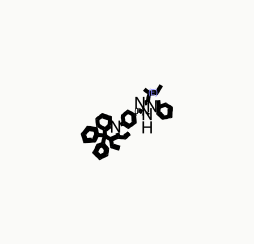 C=CC1=C(C=C)C(c2ccccc2)(c2ccccc2)C2=C(C=CCC2)N1C1=CC=C([C@@H]2N=C(/C(C)=C/C)N(C3(C)C=CC=CC3)N2)CC1